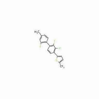 Cc1ccc(-c2ccc(-c3ccc(C(F)(F)F)s3)c(F)c2F)c(F)c1